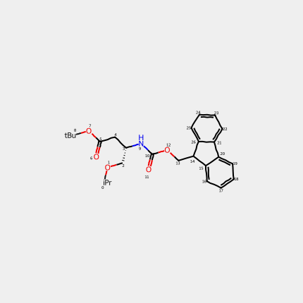 CC(C)OC[C@H](CC(=O)OC(C)(C)C)NC(=O)OCC1c2ccccc2-c2ccccc21